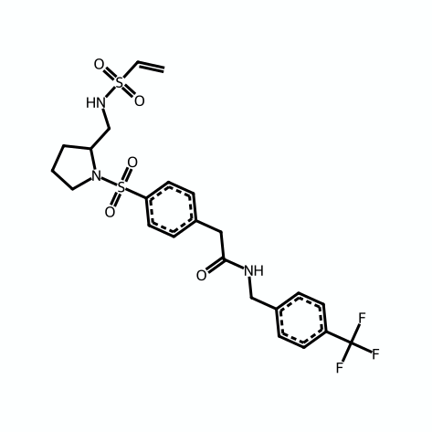 C=CS(=O)(=O)NCC1CCCN1S(=O)(=O)c1ccc(CC(=O)NCc2ccc(C(F)(F)F)cc2)cc1